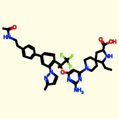 CCC1NC(C(=O)O)CC12CCN(c1cc(O[C@H](c3ccc(-c4ccc(CCNC(C)=O)cc4)cc3-n3ccc(C)n3)C(F)(F)F)nc(N)n1)CC2